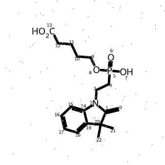 C=C1N(CCP(=O)(O)OCCCCC(=O)O)c2ccccc2C1(C)C